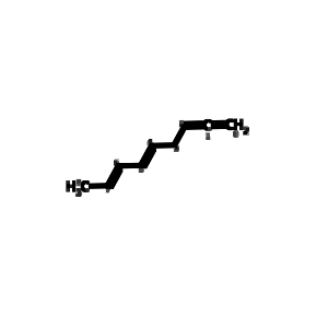 C=C=CCC=CC=CC